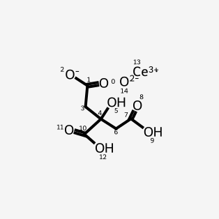 O=C([O-])CC(O)(CC(=O)O)C(=O)O.[Ce+3].[O-2]